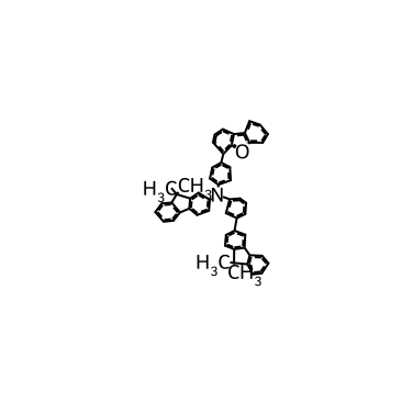 CC1(C)c2ccccc2-c2cc(-c3cccc(N(c4ccc(-c5cccc6c5oc5ccccc56)cc4)c4ccc5c(c4)C(C)(C)c4ccccc4-5)c3)ccc21